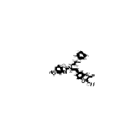 COc1ccc2oc(N(CCCOc3ccccc3)CCc3cccc(OC(C)C(=O)O)c3)nc2c1